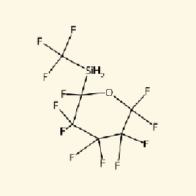 FC(F)(F)[SiH2]C1(F)OC(F)(F)C(F)(F)C(F)(F)C1(F)F